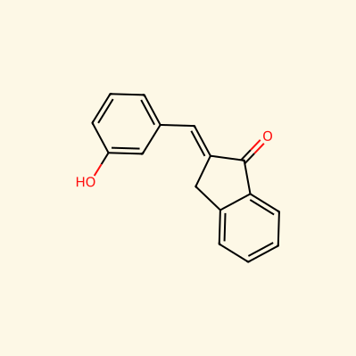 O=C1/C(=C/c2cccc(O)c2)Cc2ccccc21